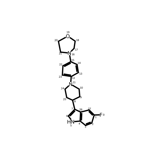 Fc1ccc2[nH]cc(C3CCN(c4ccc(N5CCOCC5)cc4)CC3)c2c1